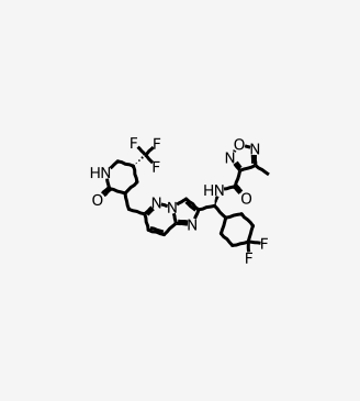 Cc1nonc1C(=O)N[C@H](c1cn2nc(CC3C[C@@H](C(F)(F)F)CNC3=O)ccc2n1)C1CCC(F)(F)CC1